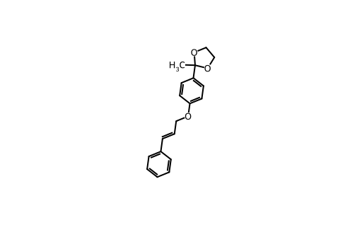 CC1(c2ccc(OCC=Cc3ccccc3)cc2)OCCO1